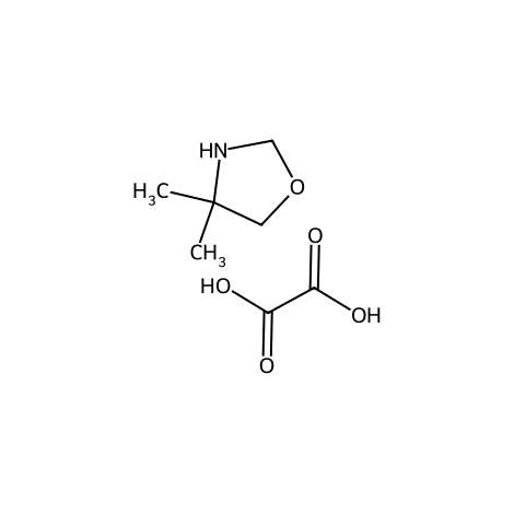 CC1(C)COCN1.O=C(O)C(=O)O